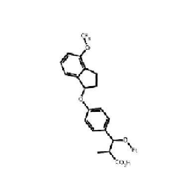 CCO[C@H](c1ccc(O[C@@H]2CCc3c(OC(F)(F)F)cccc32)cc1)C(C)C(=O)O